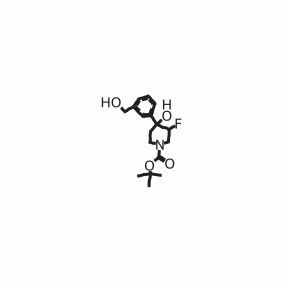 CC(C)(C)OC(=O)N1CCC(O)(c2cccc(CO)c2)C(F)C1